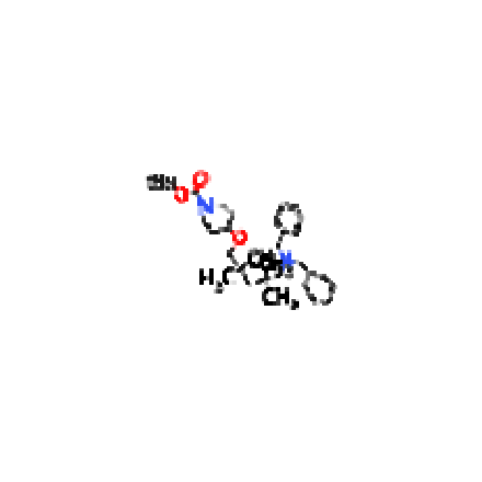 CC(C)(COC1CCN(C(=O)OC(C)(C)C)CC1)CC(C)(C)CN(Cc1ccccc1)Cc1ccccc1